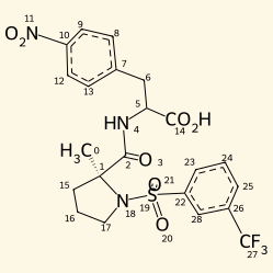 C[C@@]1(C(=O)NC(Cc2ccc([N+](=O)[O-])cc2)C(=O)O)CCCN1S(=O)(=O)c1cccc(C(F)(F)F)c1